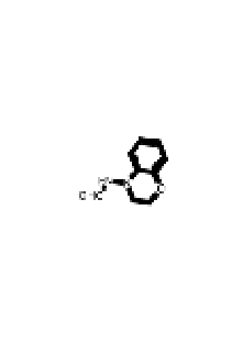 O=[C]NN1CCOc2ccccc21